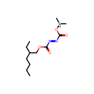 CCCCC(CC)COC(=O)N=NC(=O)O[SiH](C)C